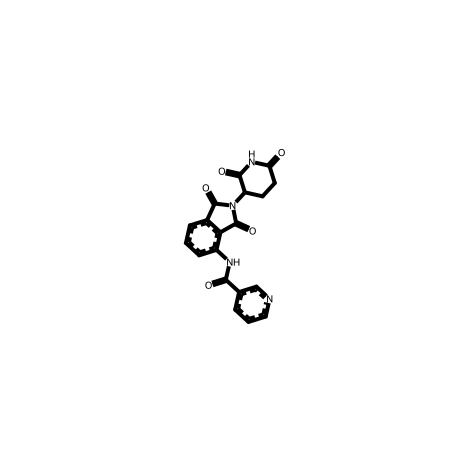 O=C1CCC(N2C(=O)c3cccc(NC(=O)c4cccnc4)c3C2=O)C(=O)N1